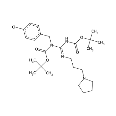 CC(C)(C)OC(=O)N/C(=N\CCCN1CCCC1)N(Cc1ccc(Cl)cc1)C(=O)OC(C)(C)C